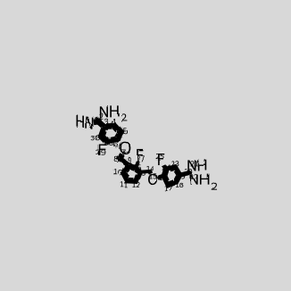 N=C(N)c1ccc(OCc2cccc(COc3ccc(C(=N)N)cc3F)c2F)c(F)c1